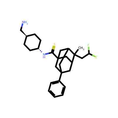 CC1(CC(F)F)C2CC3(C(=S)N[C@H]4CC[C@H](CN)CC4)CC1CC(c1ccccc1)(C2)C3